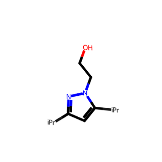 CC(C)c1cc(C(C)C)n(CCO)n1